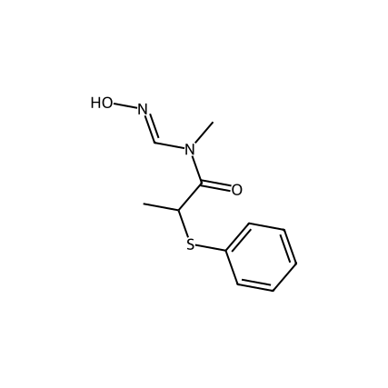 CC(Sc1ccccc1)C(=O)N(C)C=NO